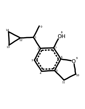 CC(c1ccc2c(c1O)OCC2)C1CC1